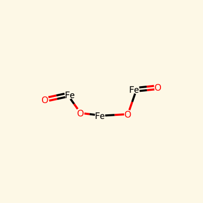 [O]=[Fe][O][Fe][O][Fe]=[O]